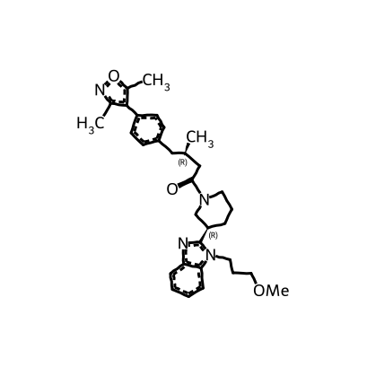 COCCCn1c([C@@H]2CCCN(C(=O)C[C@H](C)Cc3ccc(-c4c(C)noc4C)cc3)C2)nc2ccccc21